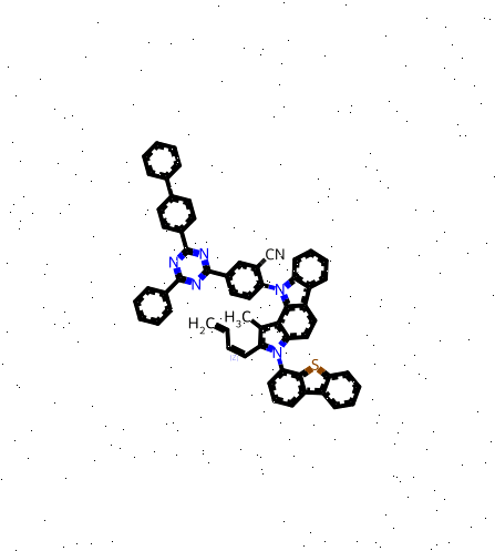 C=C/C=C\c1c(C)c2c(ccc3c4ccccc4n(-c4ccc(-c5nc(-c6ccccc6)nc(-c6ccc(-c7ccccc7)cc6)n5)cc4C#N)c32)n1-c1cccc2c1sc1ccccc12